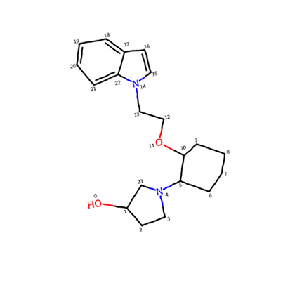 OC1CCN(C2CCCCC2OCCn2ccc3ccccc32)C1